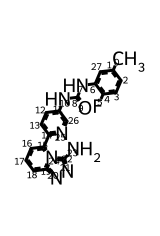 Cc1ccc(F)c(NC(=O)Nc2ccc(-c3cccc4nnc(N)n34)nc2)c1